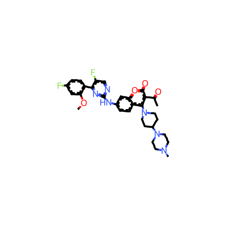 COc1cc(F)ccc1-c1nc(Nc2ccc3c(N4CCC(N5CCN(C)CC5)CC4)c(C(C)=O)c(=O)oc3c2)ncc1F